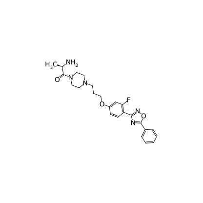 C[C@@H](N)C(=O)N1CCN(CCCOc2ccc(-c3noc(-c4ccccc4)n3)c(F)c2)CC1